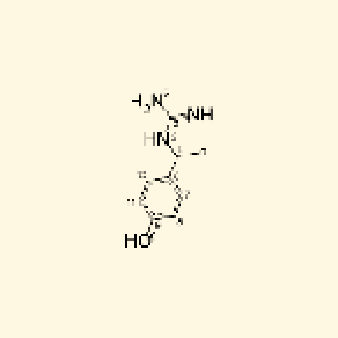 CC(NC(=N)N)c1ccc(O)cc1